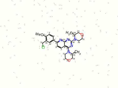 COc1ccc(-c2ccc3c(N4CCOC[C@@H]4C)nc(N4CCOC[C@@H]4C)nc3n2)cc1CCl